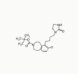 CC(C)(C)OC(=O)N1CCc2ccc(Cl)c(CCCCN3CCNC3=O)c2CC1